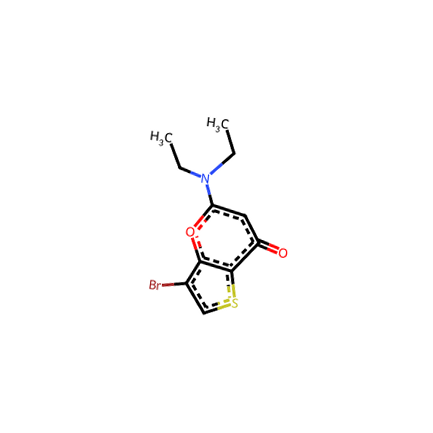 CCN(CC)c1cc(=O)c2scc(Br)c2o1